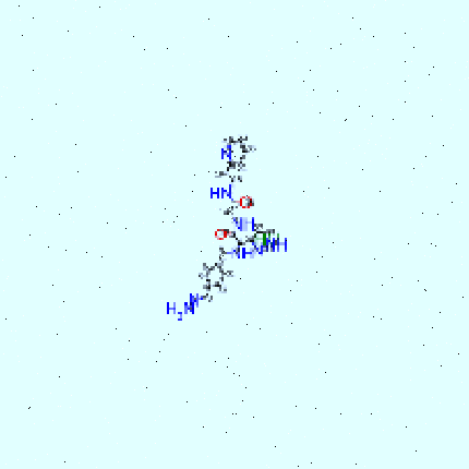 Cl.NN=Cc1ccc(CNC(C(=O)NCC(=O)NCCc2ccccn2)c2cc[nH]n2)cc1